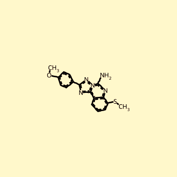 COc1ccc(-c2nc3c4cccc(SC)c4nc(N)n3n2)cc1